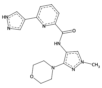 Cn1cc(NC(=O)c2cccc(-c3cn[nH]c3)n2)c(N2CCOCC2)n1